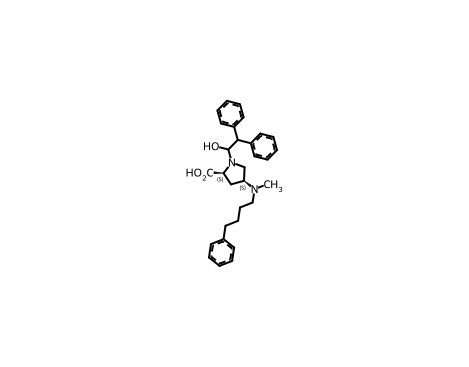 CN(CCCCc1ccccc1)[C@H]1C[C@@H](C(=O)O)N(C(O)C(c2ccccc2)c2ccccc2)C1